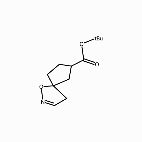 CC(C)(C)OC(=O)C1CCC2(CC=NO2)C1